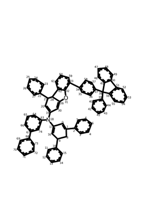 C1=C(c2ccccc2)CC(c2ccccc2)C=C1N(C1=CC(c2ccccc2)C2C(=C1)Oc1c(-c3ccc(C4(c5ccccc5)c5ccccc5-c5ccccc54)cc3)cccc12)c1cccc(-c2ccccc2)c1